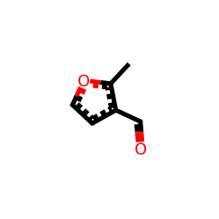 Cc1occc1C=O